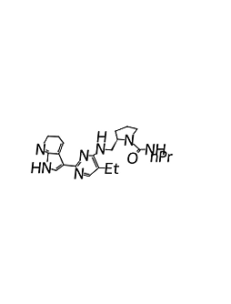 CCCNC(=O)N1CCC[C@@H]1CNc1nc(-c2c[nH]c3c2=CCCN=3)ncc1CC